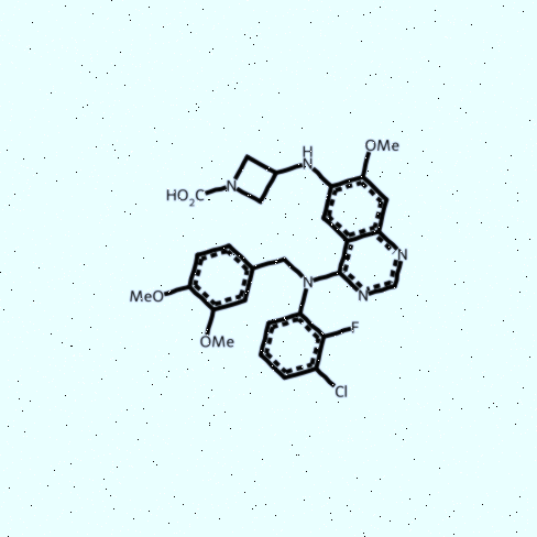 COc1cc2ncnc(N(Cc3ccc(OC)c(OC)c3)c3cccc(Cl)c3F)c2cc1NC1CN(C(=O)O)C1